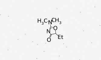 CCC1OC(N(C)C)=NC1=O